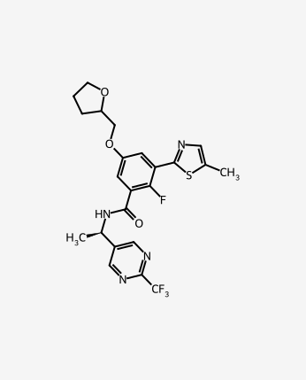 Cc1cnc(-c2cc(OCC3CCCO3)cc(C(=O)N[C@H](C)c3cnc(C(F)(F)F)nc3)c2F)s1